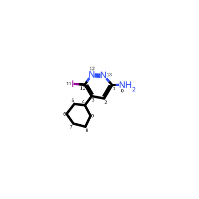 Nc1cc(C2CCCCC2)c(I)nn1